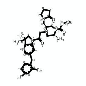 C[C@@H]1CN(CC(=O)N2CC(C)(C)c3ncc(Cc4ccc(F)cc4F)cc32)[C@@H](CN2CCCC2=O)CN1C(=O)OC(C)(C)C